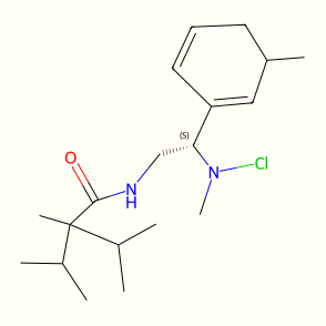 CC1C=C([C@@H](CNC(=O)C(C)(C(C)C)C(C)C)N(C)Cl)C=CC1